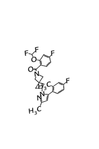 Cc1cc(-c2ccc(F)cc2C)n(C2CC3(C2)CN(C(=O)c2ccc(F)cc2OC(F)F)C3)n1